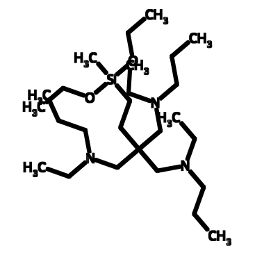 CCCN(CC)CC(CC[Si](C)(OCC)OCC)(CN(CC)CCC)CN(CC)CCC